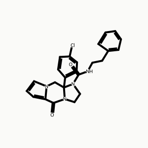 O=C(NCCc1ccccc1)N1CCN2C(=O)c3cccn3CC12c1ccc(Cl)cc1